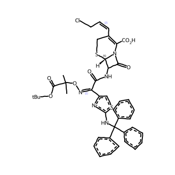 CC(C)(C)OC(=O)C(C)(C)O/N=C(\C(=O)NC1C(=O)N2C(C(=O)O)=C(/C=C\CCl)CS[C@@H]12)c1csc(NC(c2ccccc2)(c2ccccc2)c2ccccc2)n1